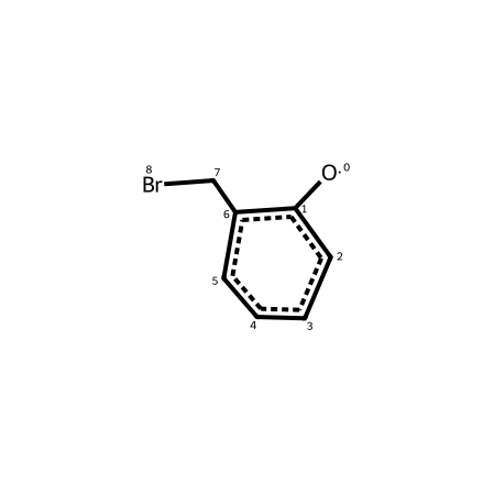 [O]c1ccccc1CBr